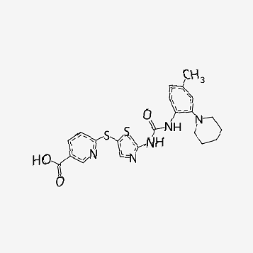 Cc1ccc(NC(=O)Nc2ncc(Sc3ccc(C(=O)O)cn3)s2)c(N2CCCCC2)c1